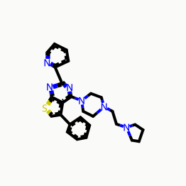 c1ccc(-c2csc3nc(-c4ccccn4)nc(N4CCN(CCN5CCCC5)CC4)c23)cc1